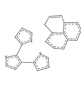 C1=Cc2cccc3cccc(c23)C1.c1csc(-c2ccsc2-c2cccs2)c1